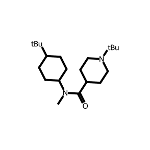 CN(C(=O)C1CCN(C(C)(C)C)CC1)C1CCC(C(C)(C)C)CC1